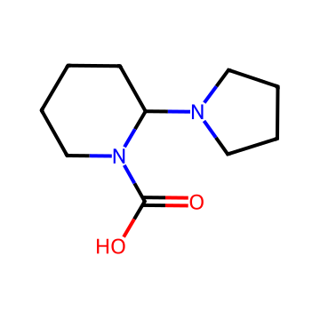 O=C(O)N1CCCCC1N1CCCC1